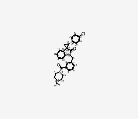 CC(C)N1CCN(C(=O)c2cccc(CN3C(=O)[C@]4(C[C@@H]4c4ccc(Cl)cc4)c4ccccc43)c2)CC1